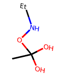 CCNOC(C)(O)O